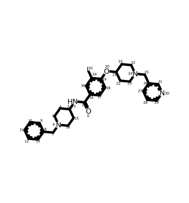 O=C(NC1CCN(Cc2ccccc2)CC1)c1ccc(OC2CCN(Cc3cccnc3)CC2)c(I)c1